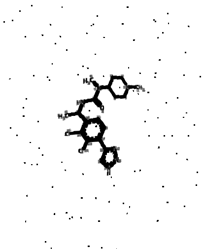 CC(NC(=O)N(C)C1CCN(C)CC1)c1ccc(-c2c[nH]nn2)c(Cl)c1Cl